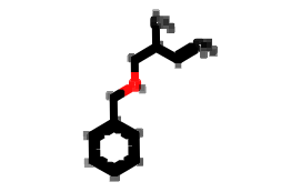 C=CC(C)COCc1ccccc1